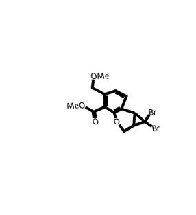 COCc1ccc2c(c1C(=O)OC)OCC1C2C1(Br)Br